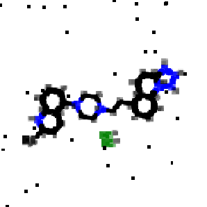 Cc1ccc2c(N3CCN(CCc4cccc5c4ccc4nnnn45)CC3)cccc2n1.Cl.Cl